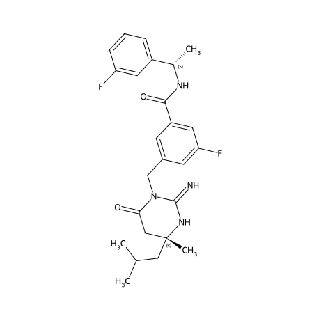 CC(C)C[C@]1(C)CC(=O)N(Cc2cc(F)cc(C(=O)N[C@@H](C)c3cccc(F)c3)c2)C(=N)N1